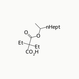 CCCCCCCC(C)OC(=O)C(CC)(CC)C(=O)O